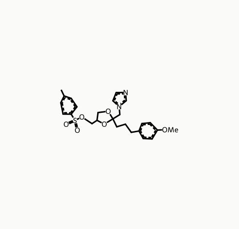 COc1ccc(CCCC2(Cn3ccnc3)OCC(COS(=O)(=O)c3ccc(C)cc3)O2)cc1